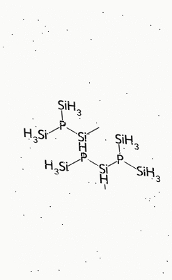 C[SiH](P([SiH3])[SiH3])P([SiH3])[SiH](C)P([SiH3])[SiH3]